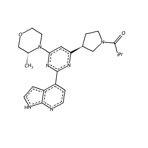 CC(C)C(=O)N1CC[C@H](c2cc(N3CCOC[C@H]3C)nc(-c3ccnc4[nH]ccc34)n2)C1